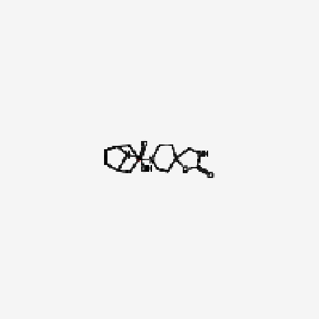 O=C1NCC2(CCN(C3CC4CCC(C3)N4C(=O)O)CC2)O1